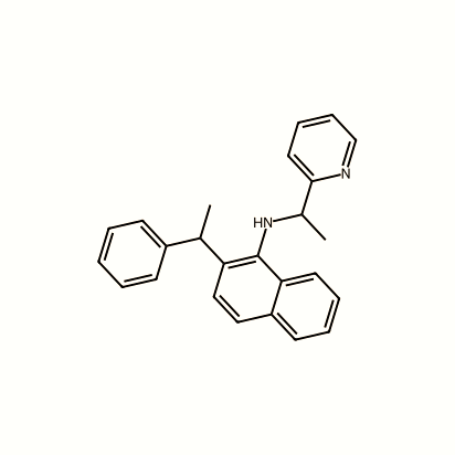 CC(Nc1c(C(C)c2ccccc2)ccc2ccccc12)c1ccccn1